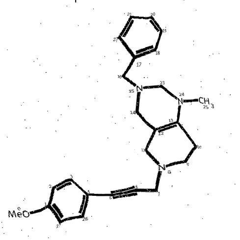 COc1ccc(C#CCN2CCC3=C(C2)CN(Cc2ccccc2)CN3C)cc1